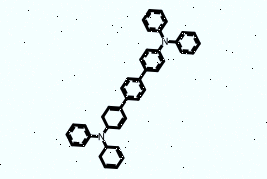 C1=CCC(N(c2ccccc2)C2C=CC(c3ccc(-c4ccc(N(c5ccccc5)c5ccccc5)cc4)cc3)=CC2)C=C1